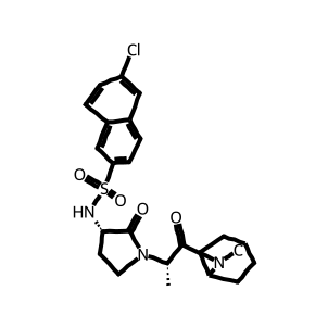 C[C@@H](C(=O)N1CC2CCC1CC2)N1CC[C@H](NS(=O)(=O)c2ccc3cc(Cl)ccc3c2)C1=O